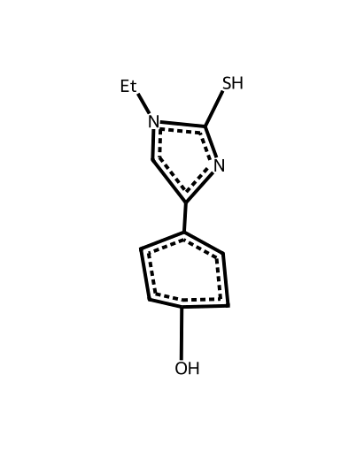 CCn1cc(-c2ccc(O)cc2)nc1S